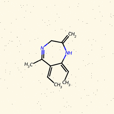 C=C1CN=C(C)C(=C/C)/C(=C\C)N1